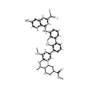 COC(=O)C1CCC(N(C)Cc2ncc(-c3cccc(-c4cccc(Nc5nc(C(F)F)nc6cc(Br)cnc56)c4C)c3Cl)nc2OC)CC1